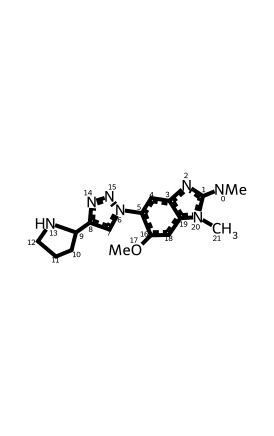 CNc1nc2cc(-n3cc(C4CCCN4)nn3)c(OC)cc2n1C